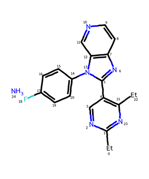 CCc1ncc(-c2nc3ccncc3n2-c2ccc(F)cc2)c(CC)n1.N